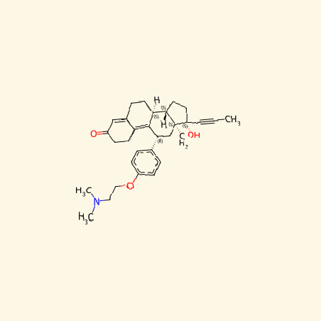 CC#C[C@]1(O)CC[C@H]2[C@@H]3CCC4=CC(=O)CCC4=C3[C@@H](c3ccc(OCCN(C)C)cc3)C[C@@]21C